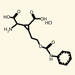 Cl.NC(C(=O)O)C1C(CCOC(=O)Nc2ccccc2)C1C(=O)O